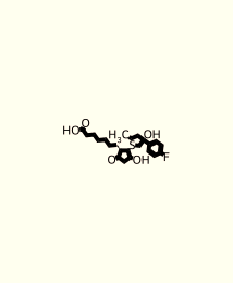 CCCC(O)(CS[C@H]1C(O)CC(=O)[C@@H]1CCCCCCC(=O)O)c1ccc(F)cc1